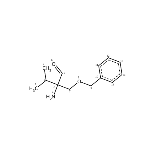 CC(C)C(N)(C=O)COCc1ccccc1